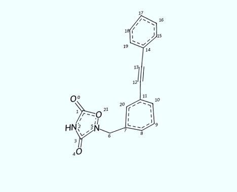 O=c1[nH]c(=O)n(Cc2cccc(C#Cc3ccccc3)c2)o1